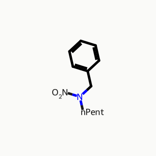 CCCCCN(Cc1ccccc1)[N+](=O)[O-]